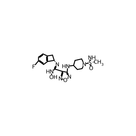 C[S@](=N)(=O)N1CCC(Nc2nonc2C(=N[C@H]2Cc3ccc(F)cc32)NO)CC1